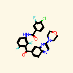 O=C(Nc1ccc(F)c(C(=O)c2ccc3ncc(N4CCOCC4)nc3c2)c1F)c1ccc(Cl)c(F)c1